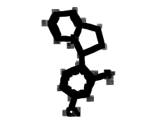 N#Cc1ccc(C2CCC3=CC=C=CN32)c(Br)c1